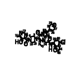 CCc1c(N2CCN(C(=O)c3ncnc(C)c3O)CC2)c(=O)n2nc(C3=CCOCC3)nc2n1CC(=O)Nc1ccc(Cl)c2ccoc12